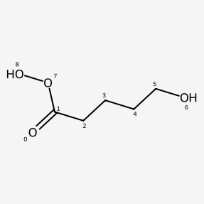 O=C(CCCCO)OO